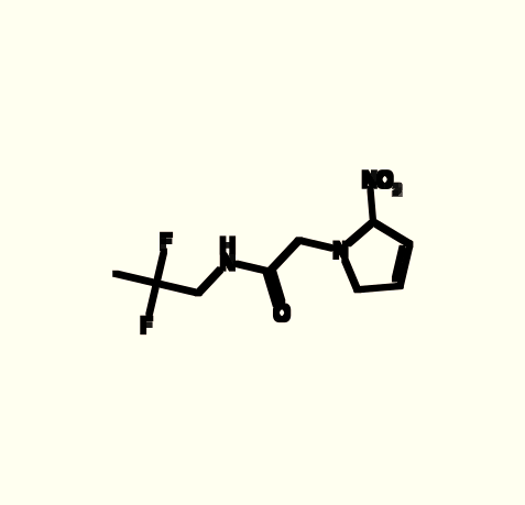 CC(F)(F)CNC(=O)CN1CC=CC1[N+](=O)[O-]